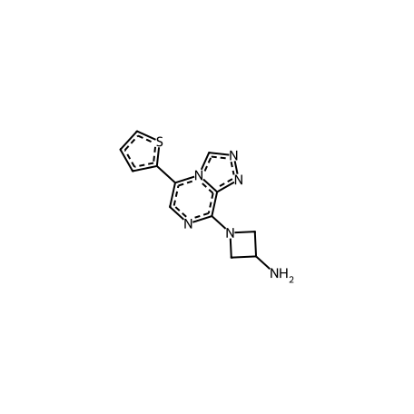 NC1CN(c2ncc(-c3cccs3)n3cnnc23)C1